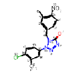 Cc1cc(Cn2c(=O)nnn2-c2ccc(Cl)c(C(F)(F)F)c2)ccc1[N+](=O)[O-]